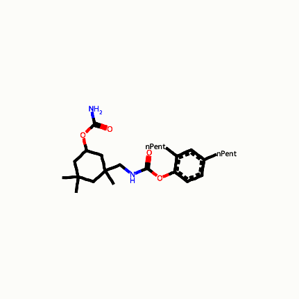 CCCCCc1ccc(OC(=O)NCC2(C)CC(OC(N)=O)CC(C)(C)C2)c(CCCCC)c1